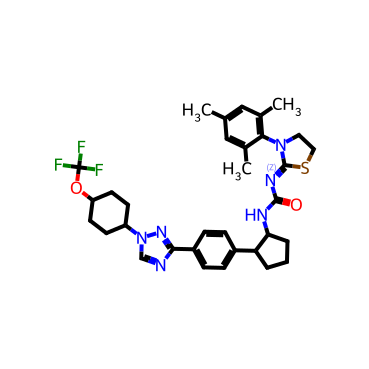 Cc1cc(C)c(N2CCS/C2=N\C(=O)NC2CCCC2c2ccc(-c3ncn(C4CCC(OC(F)(F)F)CC4)n3)cc2)c(C)c1